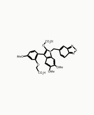 CCOC(=O)Oc1c(-c2ccc(OC)cc2OCC(=O)O)c2cc(OC)c(OC)cc2n1Cc1ccc2nsnc2c1